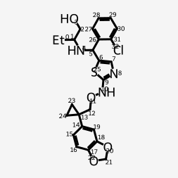 CCC(CO)NC(c1cnc(NOCC2(c3ccc4c(c3)OCO4)CC2)s1)c1ccccc1Cl